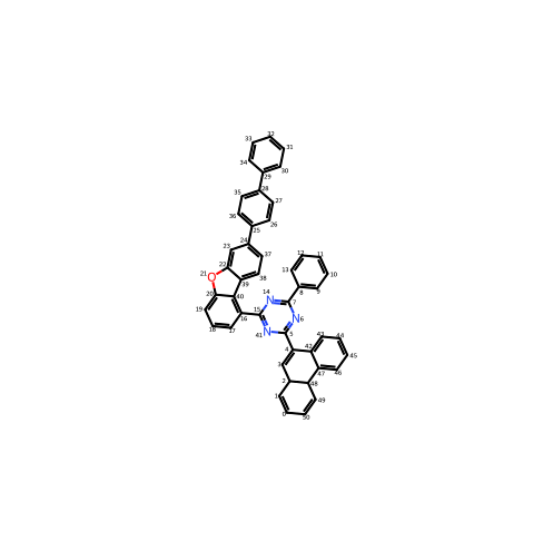 C1=CC2C=C(c3nc(-c4ccccc4)nc(-c4cccc5oc6cc(-c7ccc(-c8ccccc8)cc7)ccc6c45)n3)c3ccccc3C2C=C1